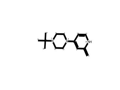 C=C1C=C(N2CCN(C(C)(C)C)CC2)C=CN1